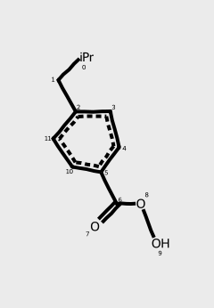 CC(C)Cc1ccc(C(=O)OO)cc1